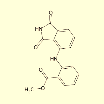 COC(=O)c1ccccc1Nc1cccc2c1C(=O)NC2=O